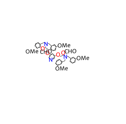 COc1cccc(CN(Cc2cccc(OC)c2)C(COc2cncc(OCC(OC=O)N(Cc3cccc(OC)c3)Cc3cccc(OC)c3)c2)OC=O)c1